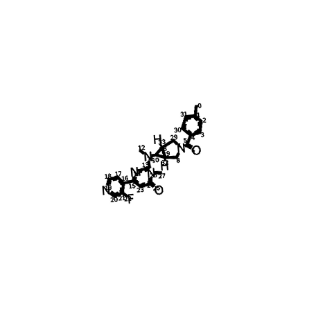 Cc1ccc(C(=O)N2C[C@@H]3C(N(C)c4nc(-c5ccncc5F)cc(=O)n4C)[C@@H]3C2)cc1